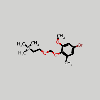 COc1cc(Br)cc(C)c1OCOCC[Si](C)(C)C